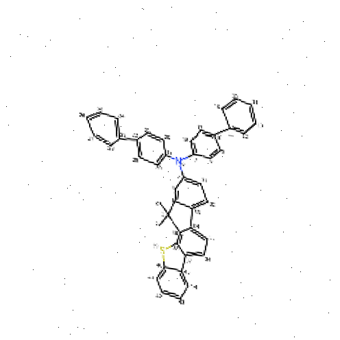 CC1(C)c2cc(N(c3ccc(-c4ccccc4)cc3)c3ccc(-c4ccccc4)cc3)ccc2-c2ccc3c(sc4ccccc43)c21